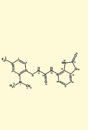 CN(C)c1cc(C(F)(F)F)ccc1CNC(=O)Nc1cccc2oc(=O)[nH]c12